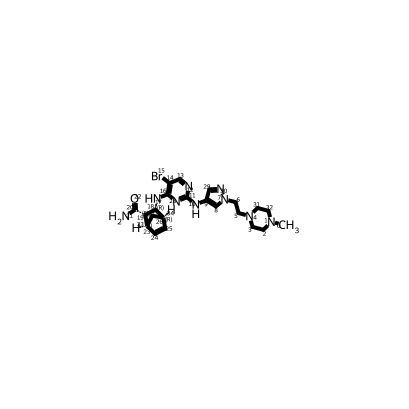 CN1CCN(CCn2cc(Nc3ncc(Br)c(N[C@H]4[C@@H](C(N)=O)[C@@H]5C=C[C@H]4C5)n3)cn2)CC1